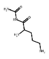 NCCCC(N)C(=O)NC(N)=O